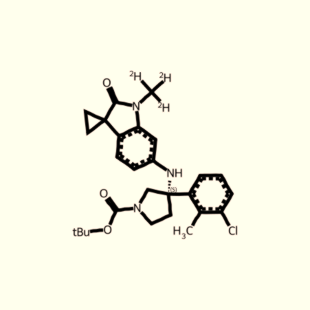 [2H]C([2H])([2H])N1C(=O)C2(CC2)c2ccc(N[C@]3(c4cccc(Cl)c4C)CCN(C(=O)OC(C)(C)C)C3)cc21